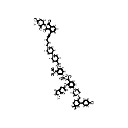 CC1(C)CCC(CN2CCN(c3ccc(C(=O)NS(=O)(=O)c4ccc(NCC5CCN(C6CCN(CCCC#Cc7cccc8c7C(=O)N(C7CCC(=O)NC7=O)C8=O)CC6)CC5)c([N+](=O)[O-])c4)c(Oc4cnc5[nH]ccc5c4)c3)CC2)=C(c2ccc(Cl)cc2)C1